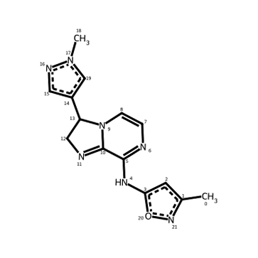 Cc1cc(NC2=NC=CN3C2=NCC3c2cnn(C)c2)on1